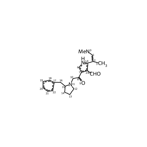 CN/C=C(/C)c1[nH]cc(C(=O)CN2CCCC2Cc2ccccc2)c1C=O